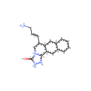 NC/C=C/c1cn2c(=O)[nH]nc2c2cc3ccccc3cc12